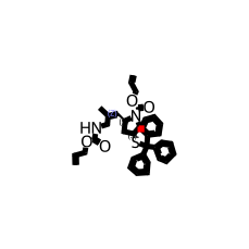 C=CCOC(=O)NC/C(C)=C\[C@@H]1C[C@H](SC(c2ccccc2)(c2ccccc2)c2ccccc2)CN1C(=O)OCC=C